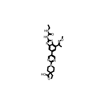 CCNC(=O)Nc1nc2cc(-c3cnc(N4CCC(CC)(C(=O)O)CC4)nc3)cc(C(C)=NOC)c2s1